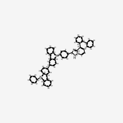 C1=CN2NC(c3ccc(-n4c5ccccc5c5cc(-c6ccc7c(c6)c6ccccc6n7-c6ccccc6)ccc54)cc3)N=C2C(c2ccccc2-c2ccccc2)=C1